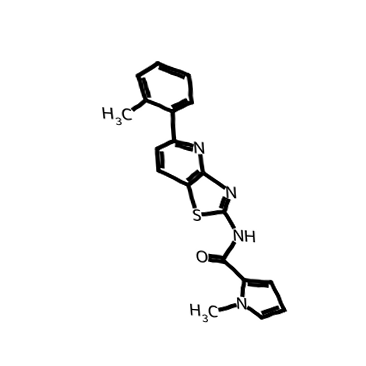 Cc1ccccc1-c1ccc2sc(NC(=O)c3cccn3C)nc2n1